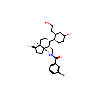 C=C1CC[C@H]2[C@H](CNC(=O)c3cccc(C)c3)[C@@H]([C@@H]3CC[C@H](O)C[C@@H]3CCO)CC[C@]12C